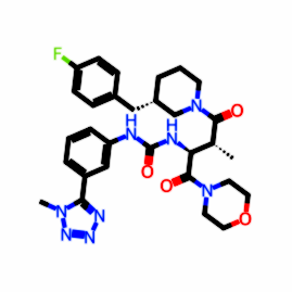 C[C@@H](C(=O)N1CCC[C@@H](Cc2ccc(F)cc2)C1)[C@H](NC(=O)Nc1cccc(-c2nnnn2C)c1)C(=O)N1CCOCC1